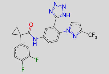 O=C(Nc1ccc(-n2ccc(C(F)(F)F)n2)c(-c2nnn[nH]2)c1)C1(c2ccc(F)c(F)c2)CC1